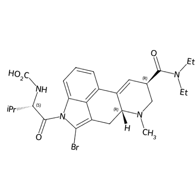 CCN(CC)C(=O)[C@@H]1C=C2c3cccc4c3c(c(Br)n4C(=O)[C@@H](NC(=O)O)C(C)C)C[C@H]2N(C)C1